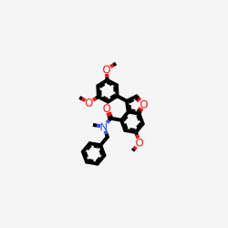 COc1cc(OC)cc(-c2coc3cc(OC)cc(C(=O)N(C)Cc4ccccc4)c23)c1